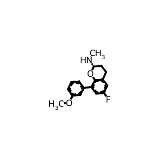 CN[C@H]1CCc2cc(F)cc(-c3cccc(OC)c3)c2O1